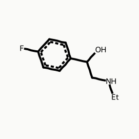 CCNCC(O)c1ccc(F)cc1